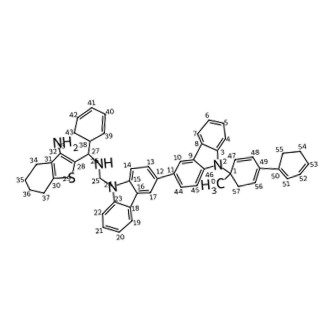 CC1(n2c3ccccc3c3cc(-c4ccc5c(c4)c4ccccc4n5CNC(c4sc5c(c4N)CCCC5)C4C=CC=CC4)ccc32)C=CC(C2=CC=CCC2)=CC1